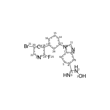 N=C(NO)c1ccc2c(c1)ncn2-c1cccc(-c2cc(Br)cnc2F)c1